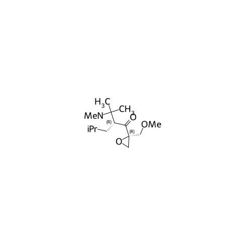 CNC(C)(C)[C@@H](CC(C)C)C(=O)[C@@]1(COC)CO1